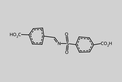 O=C(O)c1ccc(/C=N/S(=O)(=O)c2ccc(C(=O)O)cc2)cc1